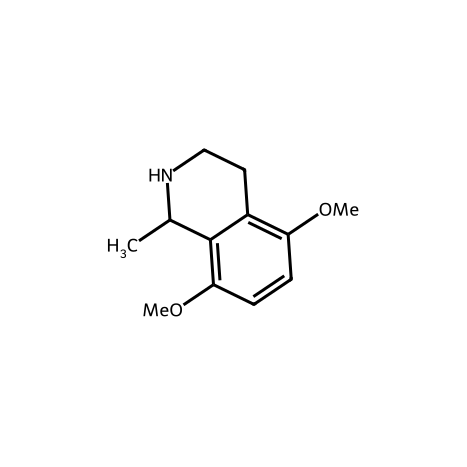 COc1ccc(OC)c2c1CCNC2C